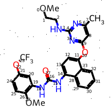 COCCNc1nc(C)cc(Oc2ccc(NC(=O)Nc3cc(OC(F)(F)F)ccc3OC)c3ccccc23)n1